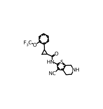 N#Cc1c(NC(=O)C2CC2c2ccccc2OC(F)(F)F)sc2c1CCNC2